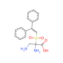 NCC(N)(C(=O)O)S(=O)(=O)C=C(c1ccccc1)c1ccccc1